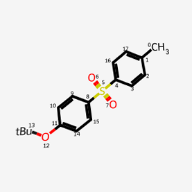 Cc1ccc(S(=O)(=O)c2ccc(OC(C)(C)C)cc2)cc1